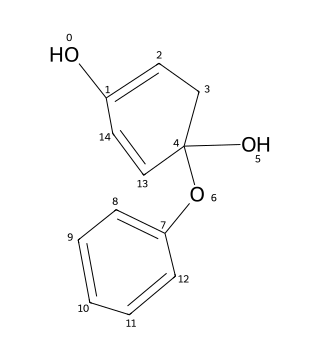 OC1=CCC(O)(Oc2ccccc2)C=C1